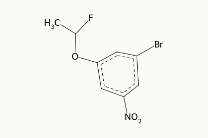 CC(F)Oc1cc(Br)cc([N+](=O)[O-])c1